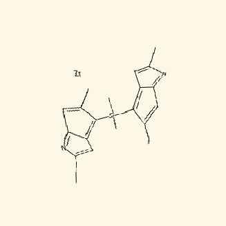 CC1=CC2=C([Si](C)(C)C3=C4C=C(C)N=C4C=C3C)C(C)=CC2=N1.[Zr]